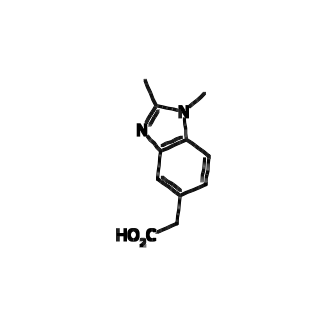 Cc1nc2cc(CC(=O)O)ccc2n1C